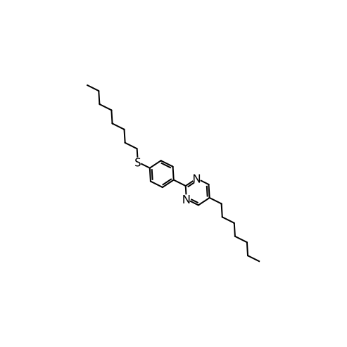 CCCCCCCCSc1ccc(-c2ncc(CCCCCCC)cn2)cc1